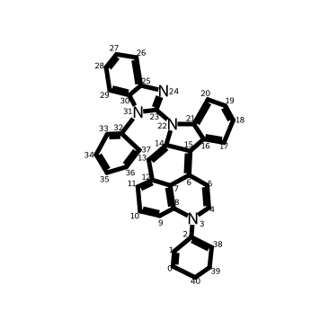 C1=CC(N2C=Cc3c4c2cccc4cc2c3c3ccccc3n2-c2nc3ccccc3n2-c2ccccc2)=CCC1